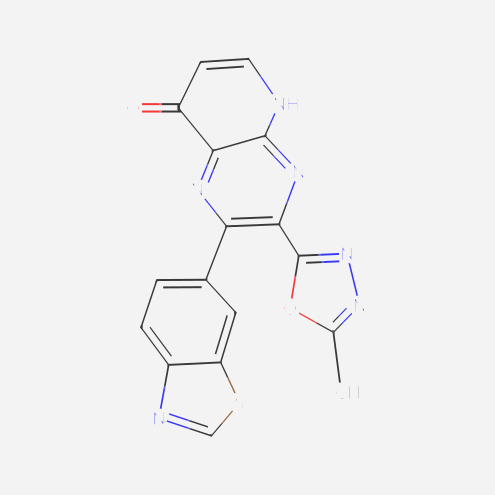 Cc1nnc(-c2nc3[nH]ccc(=O)c3nc2-c2ccc3ncsc3c2)o1